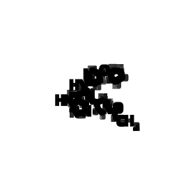 C=CC(=O)N1CCC(N2N=C(Nc3ccc(Oc4ccccc4)cn3)c3c[nH]c4ncnc2c34)CC1